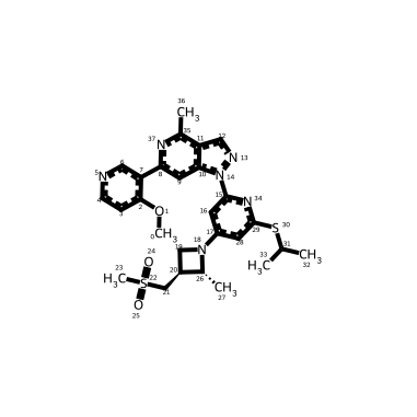 COc1ccncc1-c1cc2c(cnn2-c2cc(N3C[C@H](CS(C)(=O)=O)[C@H]3C)cc(SC(C)C)n2)c(C)n1